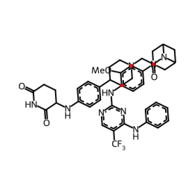 COc1cc(N2CC3CC(C2)N3C(=O)CN2CCC(c3ccc(NC4CCC(=O)NC4=O)cc3)CC2)ccc1Nc1ncc(C(F)(F)F)c(Nc2ccccc2)n1